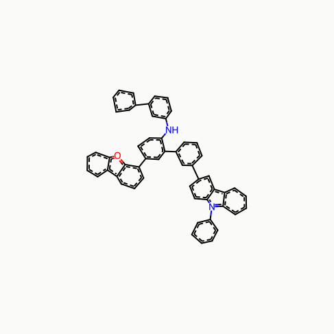 c1ccc(-c2cccc(Nc3ccc(-c4cccc5c4oc4ccccc45)cc3-c3cccc(-c4ccc5c(c4)c4ccccc4n5-c4ccccc4)c3)c2)cc1